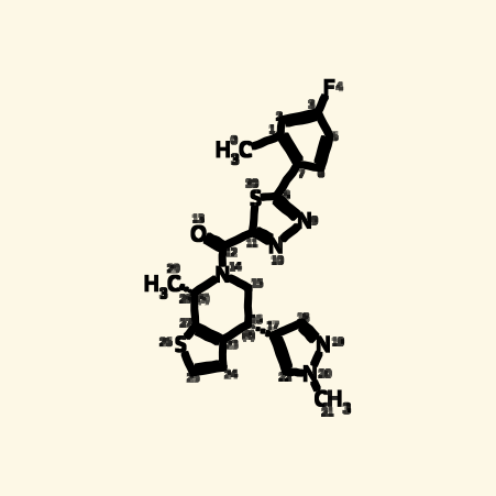 Cc1cc(F)ccc1-c1nnc(C(=O)N2C[C@H](c3cnn(C)c3)c3ccsc3[C@@H]2C)s1